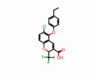 CCc1ccc(Oc2c(Cl)ccc3c2C=C(C(=O)O)C(C(F)(F)F)O3)cc1